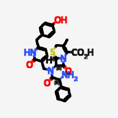 CC1=C(C(=O)O)N2C(=O)[C@@H](N(Cc3ccc(Cc4ccc(O)cc4)[nH]c3=O)C(=O)[C@H](N)c3ccccc3)[C@H]2SC1